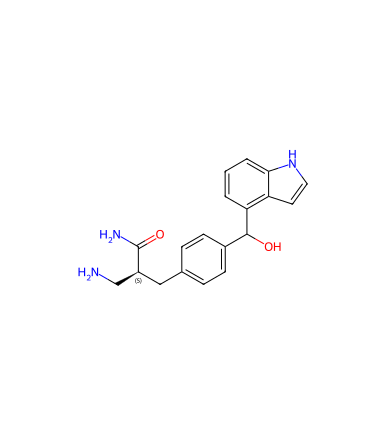 NC[C@H](Cc1ccc(C(O)c2cccc3[nH]ccc23)cc1)C(N)=O